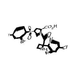 O=C(O)[C@@H]1C[C@@H](S(=O)(=O)c2ccc(F)cc2Br)CN1C(=O)C1(c2ncc(Cl)cc2F)CCN1